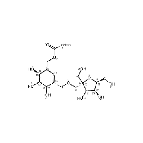 CCCCCCCCCC(=O)OCC1O[C@H](COC[C@]2(CO)O[C@@H](CO)[C@@H](O)C2O)[C@@H](O)C(O)[C@H]1O